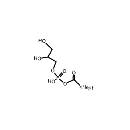 CCCCCCCC(=O)OP(=O)(O)OCC(O)CO